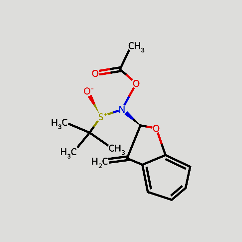 C=C1c2ccccc2O[C@@H]1N(OC(C)=O)[S@+]([O-])C(C)(C)C